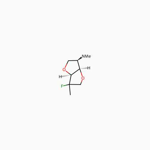 CN[C@@H]1CO[C@H]2[C@@H]1OCC2(C)F